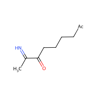 CC(=N)C(=O)CCCCC(C)=O